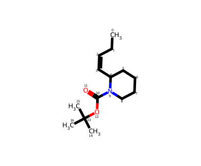 CC/C=C\C1CCCCN1C(=O)OC(C)(C)C